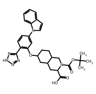 CC(C)(C)OC(=O)N1CC2CCC(Oc3cc(-n4ccc5ccccc54)ccc3-c3nn[nH]n3)CC2CC1C(=O)O